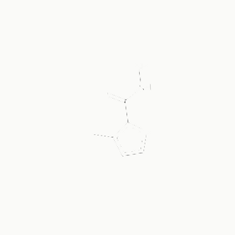 Cc1ccoc1C(=O)NS